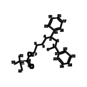 CC(CC(CCCCOC(=O)C(C)(C)C)c1ccccc1)c1ccccc1